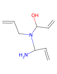 C=CCN(C(N)C=C)C(O)C=C